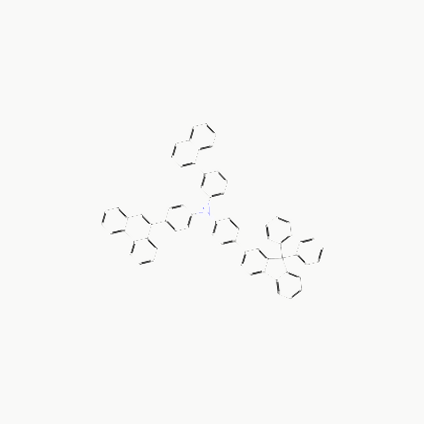 c1ccc(C2(c3ccccc3)c3ccccc3-c3ccc(-c4ccc(N(c5ccc(-c6cc7ccccc7c7ccccc67)cc5)c5cccc(-c6cccc7ccccc67)c5)cc4)cc32)cc1